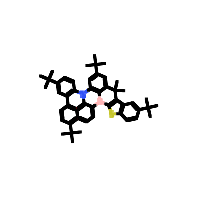 CC(C)(C)c1ccc(-c2cc(C(C)(C)C)ccc2N2c3ccccc3B3c4sc5ccc(C(C)(C)C)cc5c4C(C)(C)c4cc(C(C)(C)C)cc2c43)cc1